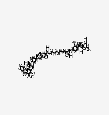 CC(=O)c1c(C)c2cnc(Nc3ccc(N4CCN(CC(=O)NCCCCCCCNC(=O)CNc5ccc(C(=O)NC6(C)NC=C(C)S6)c(C)c5)CC4)cn3)nc2n(C2CCCC2)c1=O